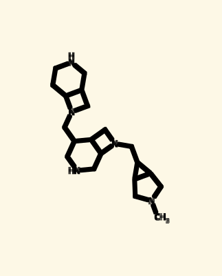 CN1CC2C(C1)C2CN1CC2C(CN3CC4CNCCC43)CNCC21